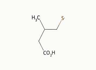 CC(C[S])CC(=O)O